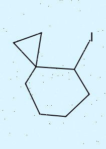 IC1CCCCC12CC2